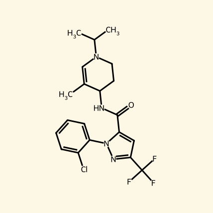 CC1=CN(C(C)C)CCC1NC(=O)c1cc(C(F)(F)F)nn1-c1ccccc1Cl